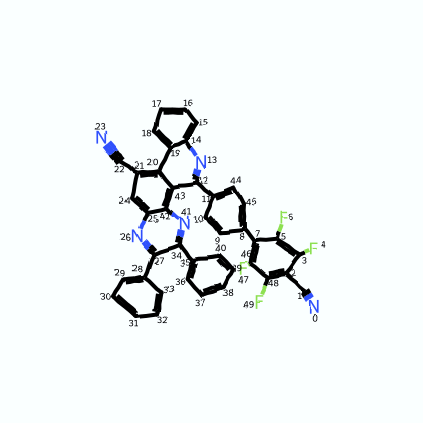 N#Cc1c(F)c(F)c(-c2ccc(-c3nc4ccccc4c4c(C#N)cc5nc(-c6ccccc6)c(-c6ccccc6)nc5c34)cc2)c(F)c1F